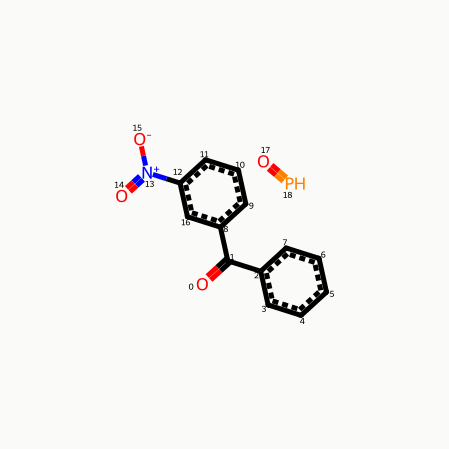 O=C(c1ccccc1)c1cccc([N+](=O)[O-])c1.O=P